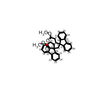 COC(=O)CCC1(CC2(CCC(=O)OC)c3ccccc3-c3ccccc32)c2ccccc2-c2ccccc21